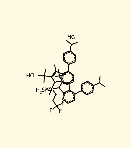 CC1=C(C(C)(C)C)[CH]([Zr]([CH3])(=[SiH2])([CH2]CC(F)(F)F)[CH]2C(C(C)(C)C)=C(C)c3c(-c4ccc(C(C)C)cc4)cccc32)c2cccc(-c3ccc(C(C)C)cc3)c21.Cl.Cl